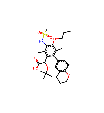 CCCOc1c(C)c(-c2ccc3c(c2)CCCO3)c(C(OC(C)(C)C)C(=O)O)c(C)c1NS(C)(=O)=O